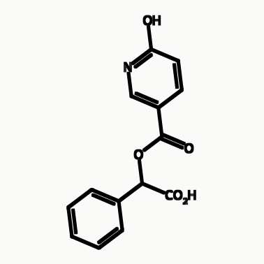 O=C(OC(C(=O)O)c1ccccc1)c1ccc(O)nc1